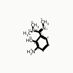 C/N=C(/c1cccc(N)c1O)N(C)C